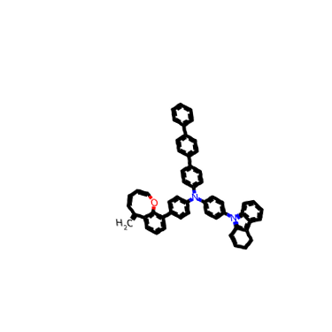 C=C1/C=C\C=C/Oc2c1cccc2-c1ccc(N(c2ccc(-c3ccc(-c4ccccc4)cc3)cc2)c2ccc(-n3c4c(c5ccccc53)CCC=C4)cc2)cc1